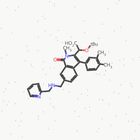 Cc1ccc(-c2c(C(OC(C)(C)C)C(=O)O)n(C)c(=O)c3cc(CNCc4ccccn4)ccc23)cc1C